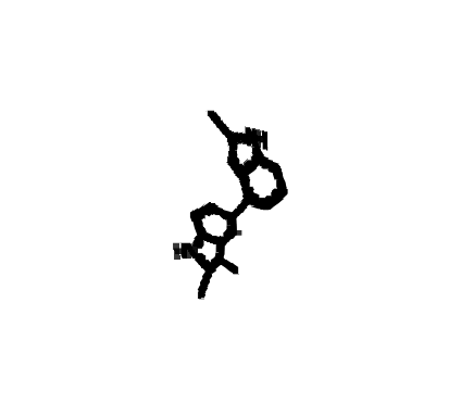 Cc1cc2c(-c3[c]c4c(C)c(C)[nH]c4cc3)cccc2[nH]1